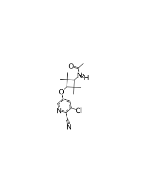 [2H]N(C(C)=O)C1C(C)(C)C(Oc2cnc(C#N)c(Cl)c2)C1(C)C